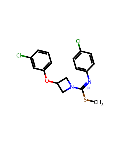 CS/C(=N/c1ccc(Cl)cc1)N1CC(Oc2cccc(Cl)c2)C1